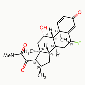 CNC(=O)C(=O)[C@H]1[C@H](C)C[C@H]2[C@@H]3C[C@H](F)C4=CC(=O)C=C[C@]4(C)[C@H]3[C@@H](O)C[C@@]21C